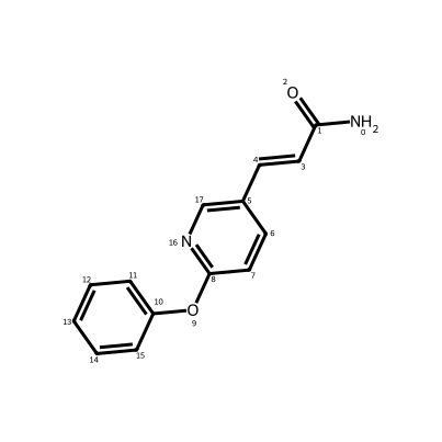 NC(=O)/C=C/c1ccc(Oc2ccccc2)nc1